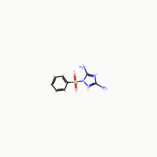 Nc1nc(N)n(S(=O)(=O)c2ccccc2)n1